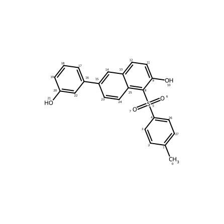 Cc1ccc(S(=O)(=O)c2c(O)ccc3cc(-c4cccc(O)c4)ccc23)cc1